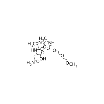 COCCOCCOCC(=O)N[C@H](C)C(=O)N[C@H](C)C(=O)N[C@@H](CC(N)=O)C(=O)O